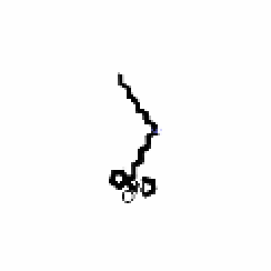 CCCCCCCC/C=C\CCCCCCC1(C(=O)N2CCCC2)CCCC1